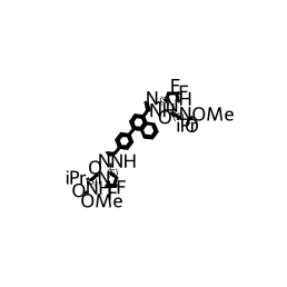 COC(=O)N[C@H](C(=O)N1CC(F)(F)C[C@H]1c1ncc(-c2ccc(-c3ccc(-c4cnc([C@@H]5CC(F)(F)CN5C(=O)[C@@H](NC(=O)OC)C(C)C)[nH]4)c4c3C=C=C=C4)cc2)[nH]1)C(C)C